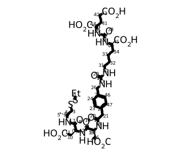 CCSSC[C@@H](C)NC(=O)[C@H](CC(=O)O)NC(=O)[C@H](CC(=O)O)NC(=O)Cc1ccc(CNC(=O)NCCCC[C@H](NC(=O)N[C@@H](CCC(=O)O)C(=O)O)C(=O)O)cc1